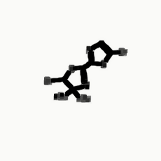 CCCCC1(CCCC)N=C(c2ncc(Br)s2)SC1Br